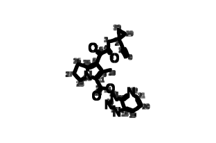 C#CC1(CC(=O)C(=O)c2c(C)c(C(=O)On3nnc4cccnc43)n3c2CCC3)CC1